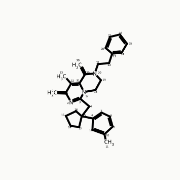 C=C1N=C(CC2(c3cccc(C)c3)CCCC2)N2CCN(CCc3ccccc3)C(=C)C2=C1C